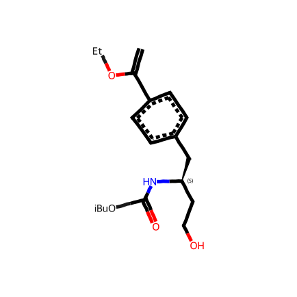 C=C(OCC)c1ccc(C[C@@H](CCO)NC(=O)OCC(C)C)cc1